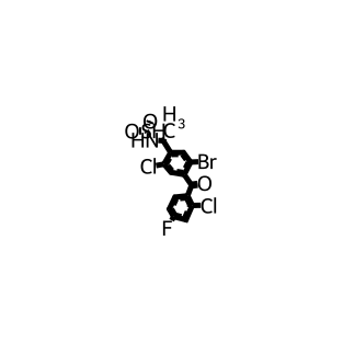 CC(N[SH](=O)=O)c1cc(Br)c(C(=O)c2ccc(F)cc2Cl)cc1Cl